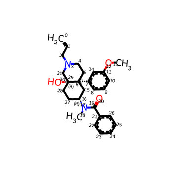 C=CCN1CC[C@@]2(c3cccc(OC)c3)C[C@H](N(C)C(=O)c3ccccc3)CC[C@]2(O)C1